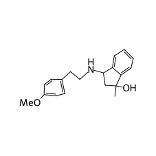 COc1ccc(CCNC2CC(C)(O)c3ccccc32)cc1